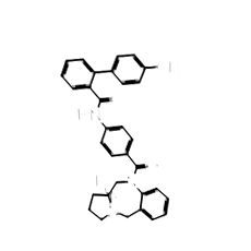 Cc1ccc(-c2ccccc2C(=O)Nc2ccc(C(=O)N3C[C@H]4CCCN4Cc4ccccc43)cc2)cc1